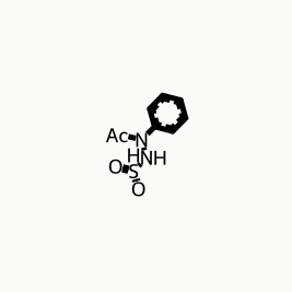 CC(=O)N(N[SH](=O)=O)c1ccccc1